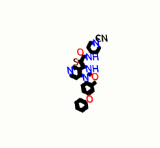 Cc1cc(Oc2ccccc2)ccc1N1C(=O)Nc2c(C(=O)NC3CCN(C#N)CC3)sc3nccc1c23